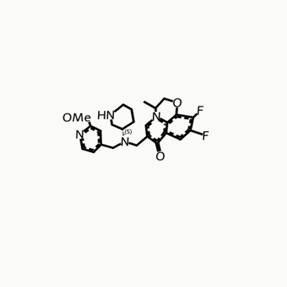 COc1cc(CN(Cc2cn3c4c(c(F)c(F)cc4c2=O)OCC3C)[C@H]2CCCNC2)ccn1